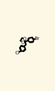 Clc1ccc(CC2(c3ccc(Br)cc3)OCCO2)cc1